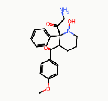 COc1ccc(C(=O)C2CCCN(O)C2(C(=O)CN)c2ccccc2)cc1